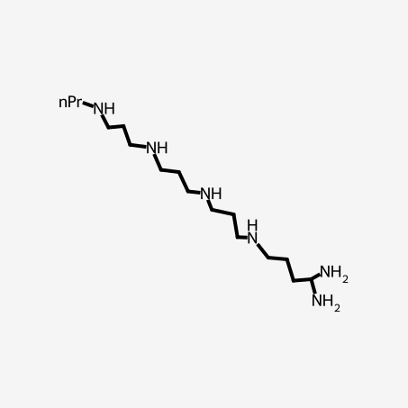 CCCNCCCNCCCNCCCNCCCC(N)N